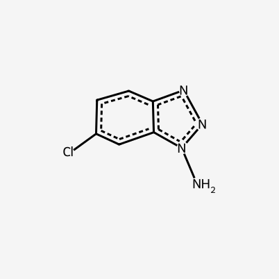 Nn1nnc2ccc(Cl)cc21